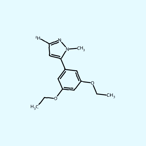 [2H]c1cc(-c2cc(OCC)cc(OCC)c2)n(C)n1